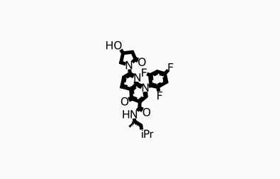 CC(C)C[C@@H](C)NC(=O)c1cn(-c2c(F)cc(F)cc2F)c2nc(N3CC(O)CC3=O)ccc2c1=O